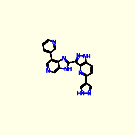 c1cncc(-c2cncc3[nH]c(-c4n[nH]c5ccc(-c6cn[nH]c6)nc45)nc23)c1